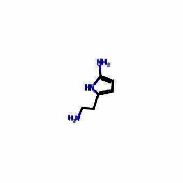 NCCc1ccc(N)[nH]1